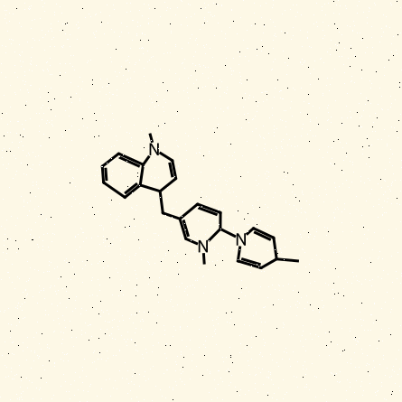 CC1C=CN(C2C=CC(CC3C=CN(C)c4ccccc43)=CN2C)C=C1